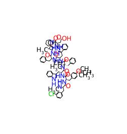 CNC(Cc1cccc(Cl)c1)C(=O)N[C@H](Cc1ccc(OC(C)(C)C)cc1)C(=O)N[C@@H](Cc1c[nH]c2ccccc12)C(=O)N(C)[C@@H](Cc1ccccc1)C(=O)NC(Cc1c[nH]c2ccccc12)C(=O)N(C)C(Cc1ccccc1)C(=O)NC1C(NC(CC(=O)O)C(=O)N2CCCCC2)=C(C)C1C